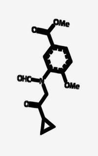 COC(=O)c1ccc(OC)c(N(C=O)CC(=O)C2CC2)c1